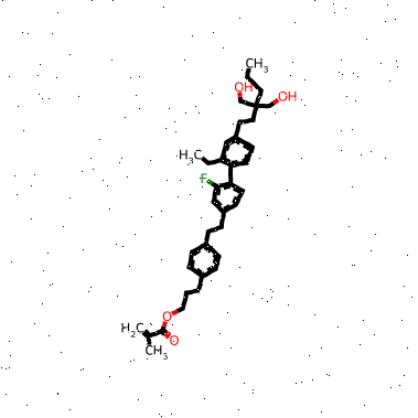 C=C(C)C(=O)OCCCc1ccc(CCc2ccc(-c3ccc(CCC(CO)(CO)CCC)cc3CC)c(F)c2)cc1